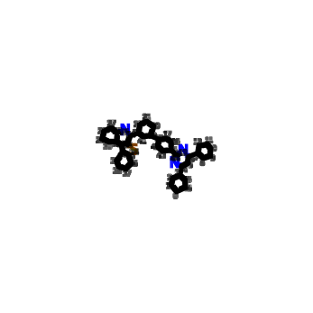 c1ccc(-c2cc(-c3ccccc3)nc(-c3ccc(-c4cccc(-c5nc6ccccc6c6c5sc5ccccc56)c4)cc3)n2)cc1